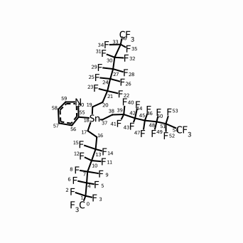 FC(F)(F)C(F)(F)C(F)(F)C(F)(F)C(F)(F)C(F)(F)C[CH2][Sn]([CH2]CC(F)(F)C(F)(F)C(F)(F)C(F)(F)C(F)(F)C(F)(F)F)([CH2]CC(F)(F)C(F)(F)C(F)(F)C(F)(F)C(F)(F)C(F)(F)F)[c]1ccccn1